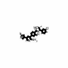 C[C@@H](O)[C@@H](NC(=O)c1ccc(-c2cc(-c3cnn(C)c3)cnc2N)cc1F)c1cccc(Cl)c1